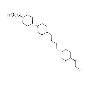 C=CCC[C@H]1CC[C@H](CCCCC2CCC([C@H]3CC[C@H](CCCCCCCC)CC3)CC2)CC1